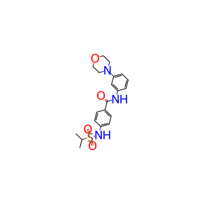 CC(C)S(=O)(=O)Nc1ccc(C(=O)Nc2cccc(N3CCOCC3)c2)cc1